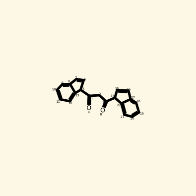 O=C(CC(=O)C1C=Cc2ccccc21)C1C=Cc2ccccc21